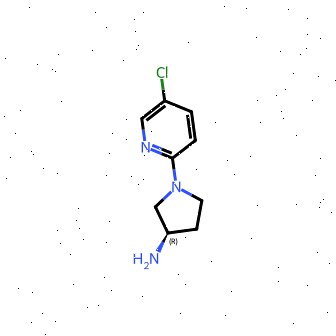 N[C@@H]1CCN(c2ccc(Cl)cn2)C1